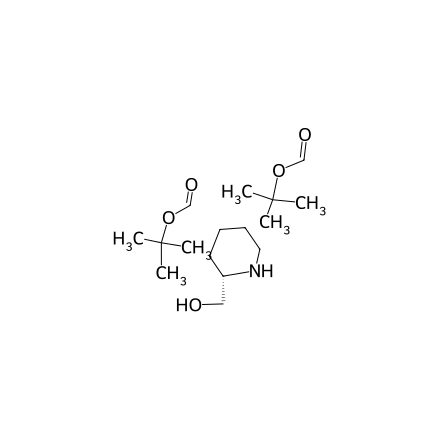 CC(C)(C)OC=O.CC(C)(C)OC=O.OC[C@@H]1CCCCN1